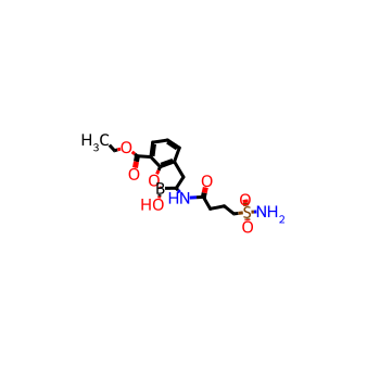 CCOC(=O)c1cccc2c1OB(O)C(NC(=O)CCCS(N)(=O)=O)C2